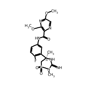 COc1cnc(C(=O)Nc2ccc(F)c([C@]3(C)CS(=O)(=O)N(C)C(=N)N3)c2)c(OC)n1